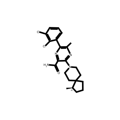 Cc1nc(N2CCC3(CCC[C@H]3C)CC2)c(C(N)=O)nc1-c1cccc(Cl)c1Cl